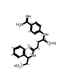 N=C(N)c1ccc(NC(C=O)CCC(=O)NC(CC(=O)O)c2ccccc2)cc1